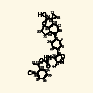 Cc1noc(-c2ccc(-c3ccc(C4(C(=O)O)CC4)c4c3CCC4)cc2)c1NC(=O)OC(C)c1ccccc1Cl